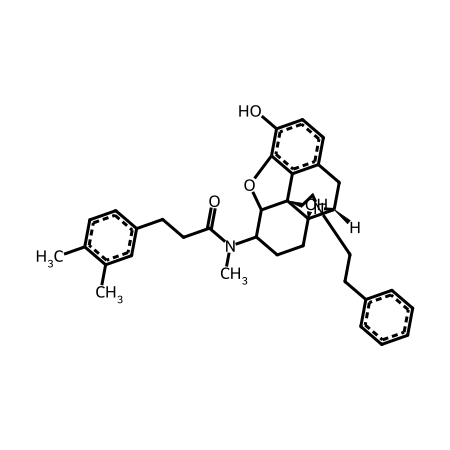 Cc1ccc(CCC(=O)N(C)C2CC[C@@]3(O)[C@H]4Cc5ccc(O)c6c5[C@@]3(CCN4CCc3ccccc3)C2O6)cc1C